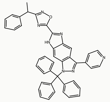 CC(c1ccccc1)c1noc(-c2nc3cc4c(-c5ccncc5)nn(C(c5ccccc5)(c5ccccc5)c5ccccc5)c4cc3[nH]2)n1